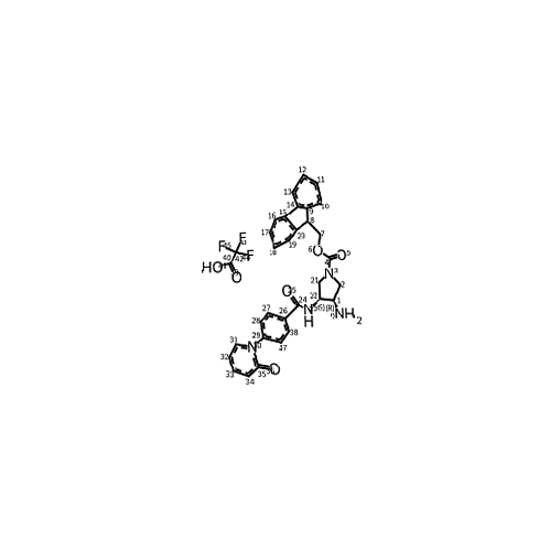 N[C@@H]1CN(C(=O)OCC2c3ccccc3-c3ccccc32)C[C@@H]1NC(=O)c1ccc(-n2ccccc2=O)cc1.O=C(O)C(F)(F)F